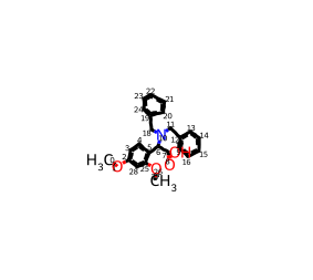 COc1ccc(C(C(=O)O)N(Cc2ccccc2)Cc2ccccc2)c(OC)c1